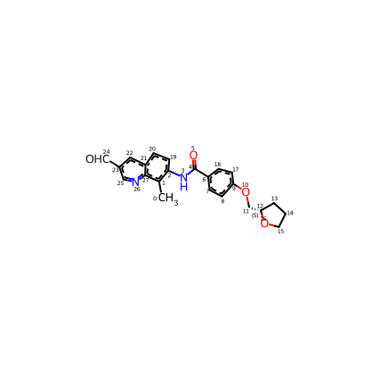 Cc1c(NC(=O)c2ccc(OC[C@@H]3CCCO3)cc2)ccc2cc(C=O)cnc12